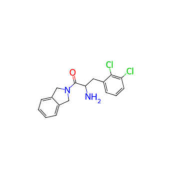 NC(Cc1cccc(Cl)c1Cl)C(=O)N1Cc2ccccc2C1